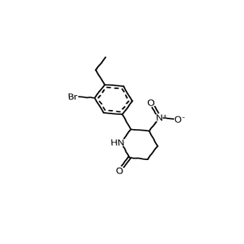 CCc1ccc(C2NC(=O)CCC2[N+](=O)[O-])cc1Br